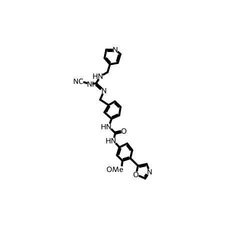 COc1cc(NC(=O)Nc2cccc(C/N=C(\NC#N)NCc3ccncc3)c2)ccc1-c1cnco1